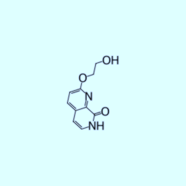 O=c1[nH]ccc2ccc(OCCO)nc12